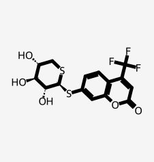 O=c1cc(C(F)(F)F)c2ccc(S[C@@H]3SC[C@@H](O)[C@H](O)[C@H]3O)cc2o1